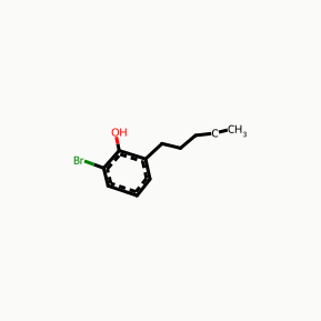 CCCCCc1cccc(Br)c1O